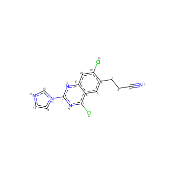 N#CCCc1cc2c(Cl)nc(-n3ccnc3)nc2cc1Cl